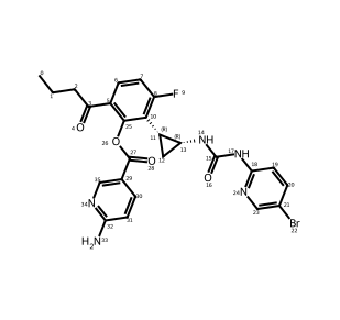 CCCC(=O)c1ccc(F)c([C@H]2C[C@H]2NC(=O)Nc2ccc(Br)cn2)c1OC(=O)c1ccc(N)nc1